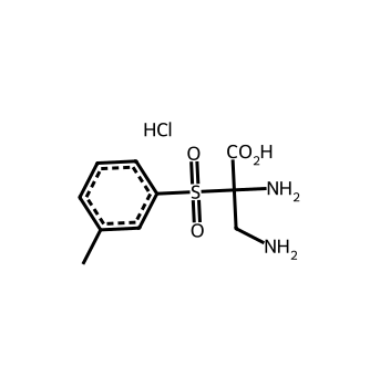 Cc1cccc(S(=O)(=O)C(N)(CN)C(=O)O)c1.Cl